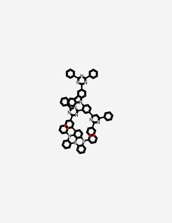 c1ccc(-c2cc(-c3ccc(-n4c5ccccc5c5cc(-c6nc(-c7ccccc7)nc(-c7ccccc7)n6)ccc54)c(-c4nc(-c5ccccc5)nc(-c5cccc(-c6ccc7c8c6N(c6ccccc6)c6ccccc6B8c6ccccc6N7c6ccccc6)c5)n4)c3)nc(-c3ccccc3)n2)cc1